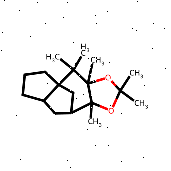 CC1(C)OC2(C)C3CC4CCCC4(C3)C(C)(C)C2(C)O1